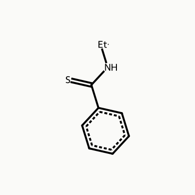 C[CH]NC(=S)c1ccccc1